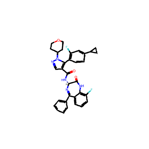 O=C(N[C@H]1N=C(c2ccccc2)c2cccc(F)c2NC1=O)c1cnn(C2CCOCC2)c1-c1ccc(C2CC2)cc1F